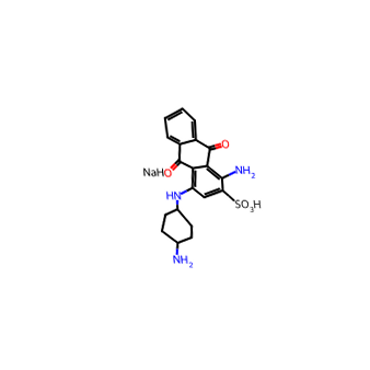 Nc1c(S(=O)(=O)O)cc(NC2CCC(N)CC2)c2c1C(=O)c1ccccc1C2=O.[NaH]